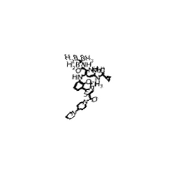 BC(B)(B)NC(=O)/C(N)=C(/C=C(\N)NC(=O)C1CC1)Nc1cccc(-c2ncc(C(=O)N3CCC(N4CCCC4)CC3)s2)c1OC